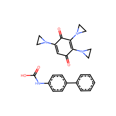 O=C(O)Nc1ccc(-c2ccccc2)cc1.O=C1C=C(N2CC2)C(=O)C(N2CC2)=C1N1CC1